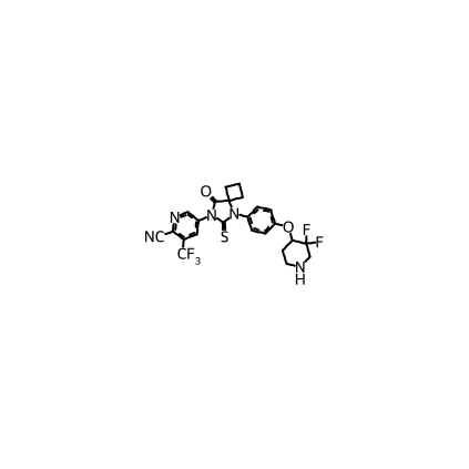 N#Cc1ncc(N2C(=O)C3(CCC3)N(c3ccc(OC4CCNCC4(F)F)cc3)C2=S)cc1C(F)(F)F